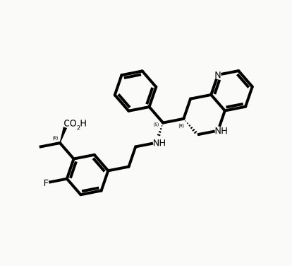 C[C@@H](C(=O)O)c1cc(CCN[C@H](c2ccccc2)[C@H]2CNc3cccnc3C2)ccc1F